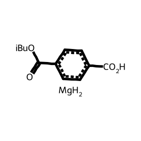 CC(C)COC(=O)c1ccc(C(=O)O)cc1.[MgH2]